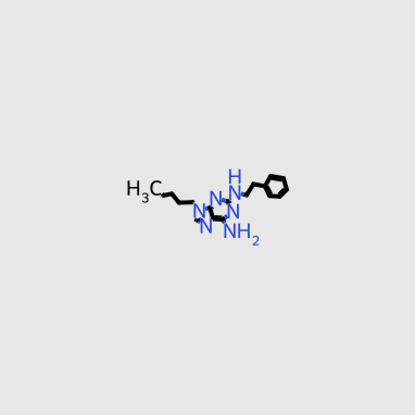 CCCCCn1cnc2c(N)nc(NCCc3ccccc3)nc21